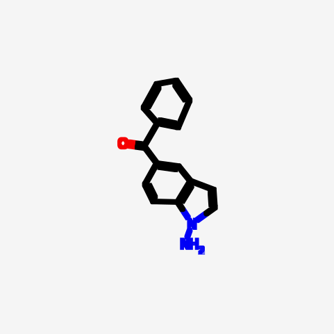 Nn1ccc2cc(C(=O)c3ccccc3)ccc21